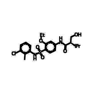 CCOc1cc(NC(=O)[C@@H](CO)C(C)C)ccc1S(=O)(=O)Nc1cccc(Cl)c1C